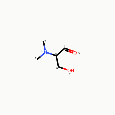 CN(C)C([C]=O)CO